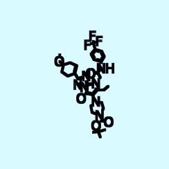 CCc1c(N2CCN(C(=O)OC(C)(C)C)CC2)c(=O)n2nc(C3=CCC(OC)CC3)nc2n1CC(=O)Nc1ccc(C(F)(F)F)cc1